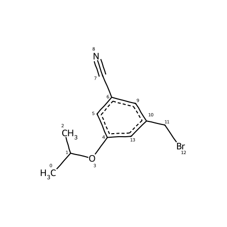 CC(C)Oc1cc(C#N)cc(CBr)c1